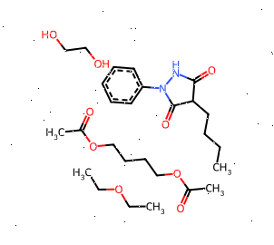 CC(=O)OCCCCOC(C)=O.CCCCC1C(=O)NN(c2ccccc2)C1=O.CCOCC.OCCO